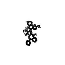 COc1ccc(C(=N)OC(=N)NC2N=C(c3ccccc3)c3ccccc3NC2=O)c(N2CCOCC2)n1